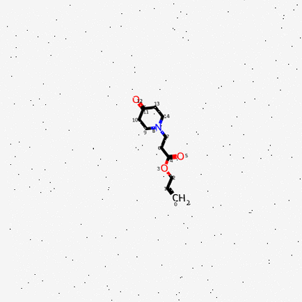 C=CCOC(=O)CCN1CCC(=O)CC1